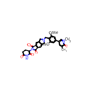 COc1cc(-c2cc(C)c(=O)n(C)c2)cc(OC)c1CN1Cc2cc3c(cc2C1)C(=O)N(C1CCC(=O)NC1=O)C3=O